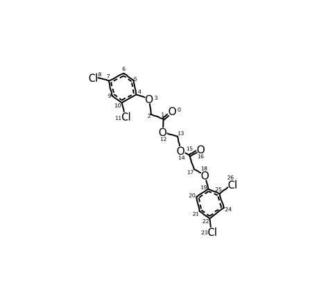 O=C(COc1ccc(Cl)cc1Cl)OCOC(=O)COc1ccc(Cl)cc1Cl